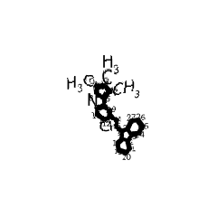 CC1=C(C)C(C)=C2C1=Nc1cc(C)c(CCC3c4ccccc4-c4ccccc43)cc12